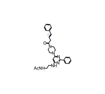 CC(=O)NCCNc1cc(N2CCN(C(=O)C/C=C/c3ccccc3)CC2)nc(-c2ccccc2)n1